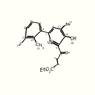 CCOC(=O)CCC(=O)c1nc(-c2cccc(F)c2C)cc(Br)c1O